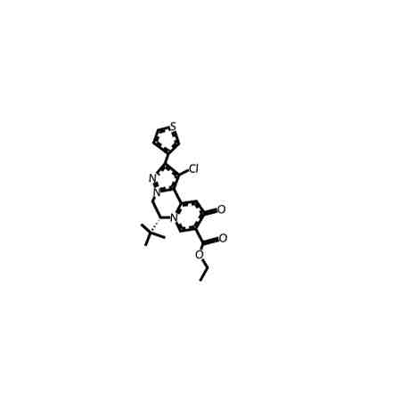 CCOC(=O)c1cn2c(cc1=O)-c1c(Cl)c(-c3ccsc3)nn1C[C@H]2C(C)(C)C